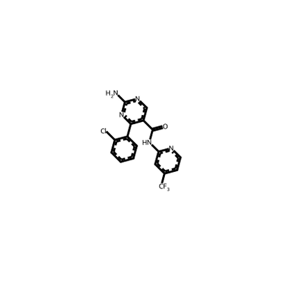 Nc1ncc(C(=O)Nc2cc(C(F)(F)F)ccn2)c(-c2ccccc2Cl)n1